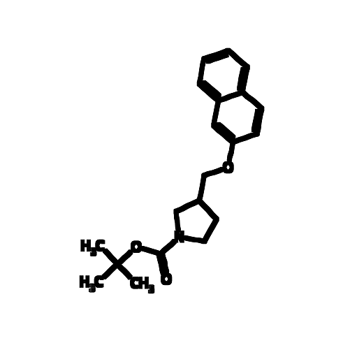 CC(C)(C)OC(=O)N1CCC(COc2ccc3ccccc3c2)C1